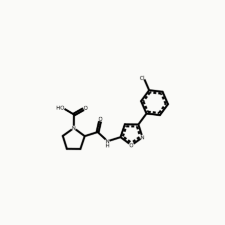 O=C(Nc1cc(-c2cccc(Cl)c2)no1)C1CCCN1C(=O)O